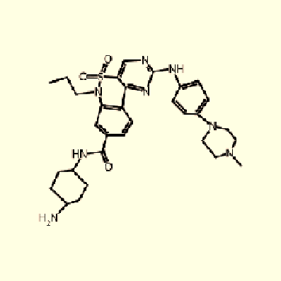 CCCN1c2cc(C(=O)NC3CCC(N)CC3)ccc2-c2nc(Nc3ccc(N4CCN(C)CC4)cc3)ncc2S1(=O)=O